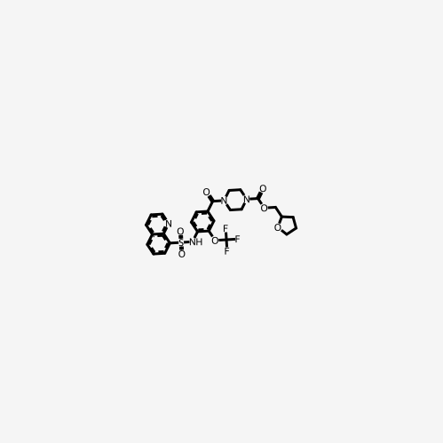 O=C(OCC1CCCO1)N1CCN(C(=O)c2ccc(NS(=O)(=O)c3cccc4cccnc34)c(OC(F)(F)F)c2)CC1